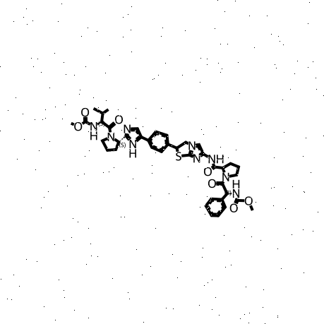 COC(=O)N[C@H](C(=O)N1CCC[C@H]1c1ncc(-c2ccc(C3Cn4cc(NC(=O)C5CCCN5C(=O)[C@H](NC(=O)OC)c5ccccc5)nc4S3)cc2)[nH]1)C(C)C